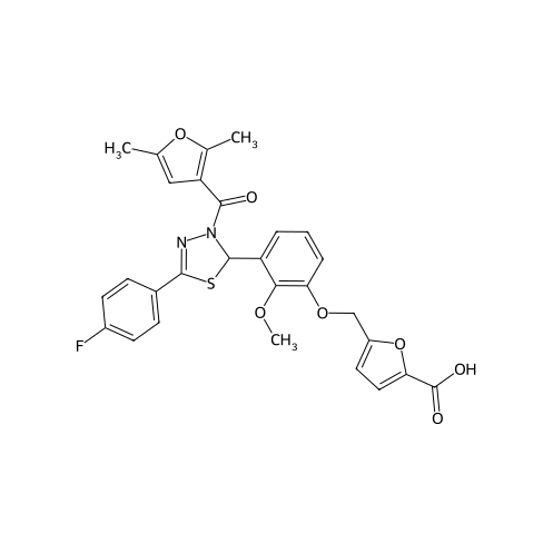 COc1c(OCc2ccc(C(=O)O)o2)cccc1C1SC(c2ccc(F)cc2)=NN1C(=O)c1cc(C)oc1C